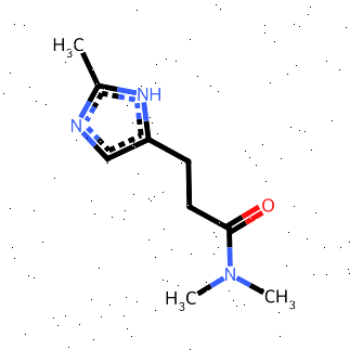 Cc1n[c]c(CCC(=O)N(C)C)[nH]1